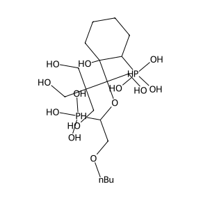 CCCCOCC(OC(CO)(C(CO)(CO)CO)C1(O)CCCCC1[PH](O)(O)O)[PH](O)(O)O